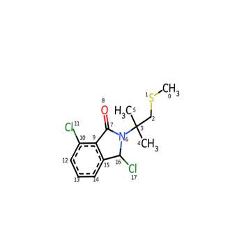 CSCC(C)(C)N1C(=O)c2c(Cl)cccc2C1Cl